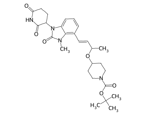 CC(/C=C/c1cccc2c1n(C)c(=O)n2C1CCC(=O)NC1=O)OC1CCN(C(=O)OC(C)(C)C)CC1